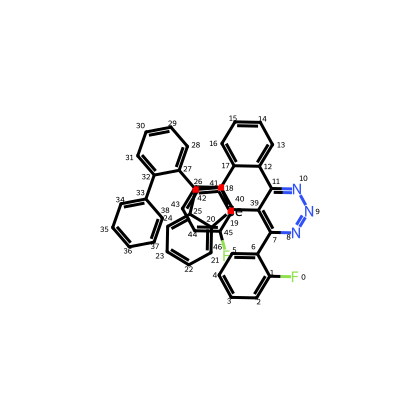 Fc1ccccc1-c1nnnc(-c2ccccc2-c2[se]c3ccccc3c2-c2ccccc2-c2ccccc2)c1-c1ccccc1F